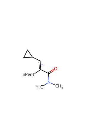 CCCCC/C(=C\C1CC1)C(=O)N(C)C